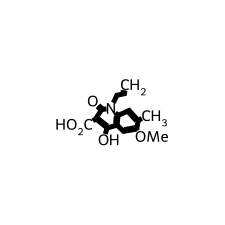 C=CCn1c(=O)c(C(=O)O)c(O)c2cc(OC)c(C)cc21